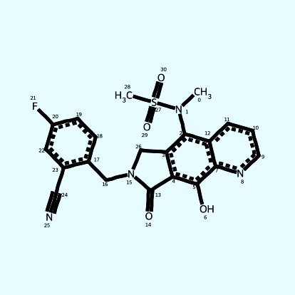 CN(c1c2c(c(O)c3ncccc13)C(=O)N(Cc1ccc(F)cc1C#N)C2)S(C)(=O)=O